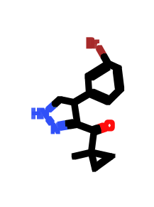 CC1(C(=O)C2=NNCC2c2cccc(Br)c2)CC1